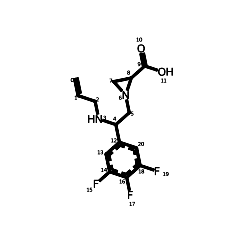 C=CCNC(CN1CC1C(=O)O)c1cc(F)c(F)c(F)c1